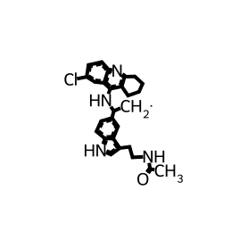 [CH2]C(Nc1c2c(nc3ccc(Cl)cc13)CCCC2)c1ccc2[nH]cc(CCNC(C)=O)c2c1